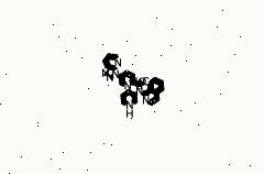 Cc1cccc2ccnc(N(C(=O)c3ccc(-n4nnc5cccnc54)cn3)[C@@H]3CCCNC3)c12